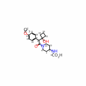 O=C(O)NC1CCN(C(=O)C(c2ccc(OC(F)(F)F)cc2)C2(O)CCC2)CC1